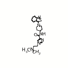 CN(C)CCn1cnc(C(=O)NC2CCN(c3snc4ccccc34)CC2)c1